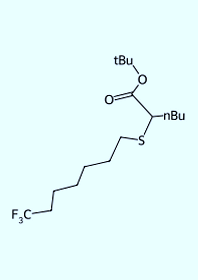 CCCCC(SCCCCCCC(F)(F)F)C(=O)OC(C)(C)C